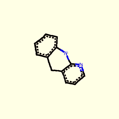 c1ccc2c(c1)Cc1cccnc1[N]2